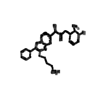 CC1C(Cl)=CC=CC1CNC(=O)c1ccc2cc(C3C=CC=CC3)c(CCCCC(=O)O)nc2c1